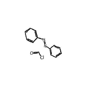 O=CCl.c1ccc(N=Nc2ccccc2)cc1